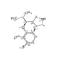 CC(C)[C@H](Oc1c(F)ccc(F)c1Cl)C1CCNC1